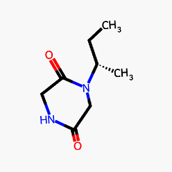 CC[C@H](C)N1CC(=O)NCC1=O